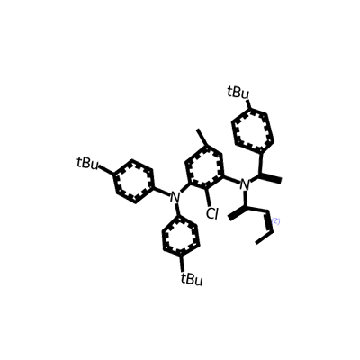 C=C(/C=C\C)N(C(=C)c1ccc(C(C)(C)C)cc1)c1cc(C)cc(N(c2ccc(C(C)(C)C)cc2)c2ccc(C(C)(C)C)cc2)c1Cl